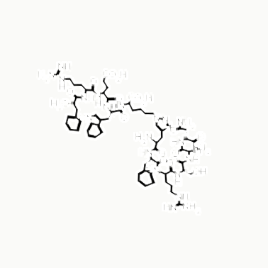 CC(C)C(NC(=O)[C@@H](CO)NC(=O)C(CCCNC(=N)N)NC(=O)[C@@H](Cc1ccccc1)NC(=O)C(N)Cc1cn(CCCCC(NC(=O)[C@@H](Cc2c[nH]c3ccccc23)NC(=O)C(CCC(=O)O)NC(=O)C(CCCNC(=N)N)NC(=O)[C@H](C)Cc2ccccc2)C(=O)O)nn1)C(=O)N[C@H](CC(N)=O)C(N)=O